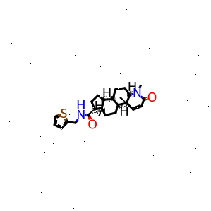 CN1C(=O)C=C[C@]2(C)[C@H]3CC[C@]4(C)[C@@H](C(=O)NCc5cccs5)CC[C@H]4[C@@H]3CC[C@@H]12